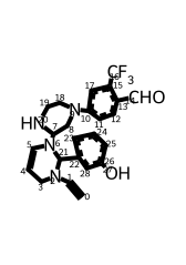 C#CN1CC=CN(C2CN(c3ccc(C=O)c(C(F)(F)F)c3)CCN2)C1c1cccc(O)c1